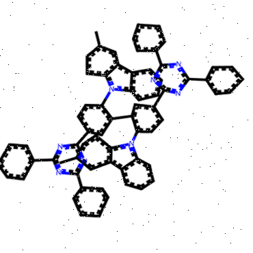 Cc1ccc2c(c1)c1ccccc1n2-c1ccc(-c2nc(-c3ccccc3)nc(-c3ccccc3)n2)cc1-c1cc(-c2nc(-c3ccccc3)nc(-c3ccccc3)n2)ccc1-n1c2ccccc2c2cc(C)ccc21